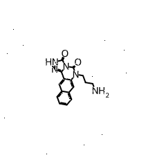 NCCCn1c(=O)n2c(=O)[nH]nc2c2cc3ccccc3cc21